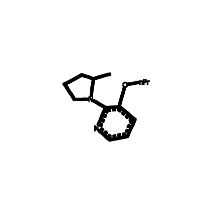 CCCOc1cccnc1N1CCCC1C